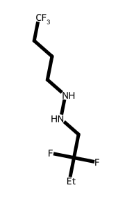 CCC(F)(F)CNNCCCC(F)(F)F